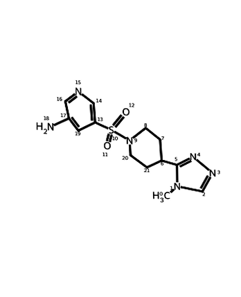 Cn1cnnc1C1CCN(S(=O)(=O)c2cncc(N)c2)CC1